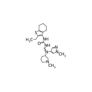 CCc1sc2c(c1NC(=O)NSN(c1cnn(C)c1)C1CCCN(C)C1)CCCC2